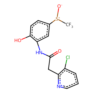 O=C(Cc1ncccc1Cl)Nc1cc([S+]([O-])C(F)(F)F)ccc1O